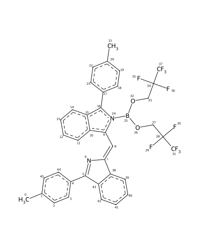 Cc1ccc(C2=N/C(=C\c3c4ccccc4c(-c4ccc(C)cc4)n3B(OCC(F)(F)C(F)(F)F)OCC(F)(F)C(F)(F)F)c3ccccc32)cc1